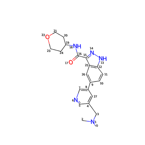 CN(C)Cc1cncc(-c2ccc3[nH]nc(C(=O)NC4CCOCC4)c3c2)c1